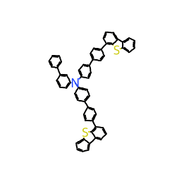 c1ccc(-c2cccc(N(c3ccc(-c4ccc(-c5cccc6c5sc5ccccc56)cc4)cc3)c3ccc(-c4ccc(-c5cccc6c5sc5ccccc56)cc4)cc3)c2)cc1